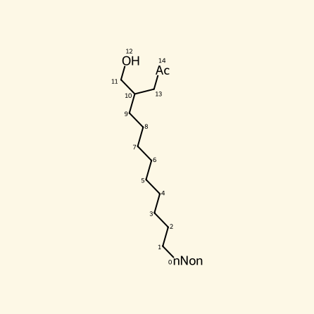 CCCCCCCCCCCCCCCCCCC(CO)CC(C)=O